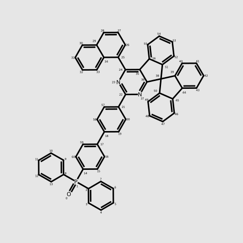 O=P(c1ccccc1)(c1ccccc1)c1ccc(-c2ccc(-c3nc(-c4cccc5ccccc45)c4c(n3)C3(c5ccccc5-c5ccccc53)c3ccccc3-4)cc2)cc1